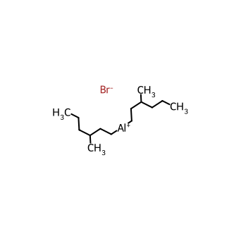 CCCC(C)C[CH2][Al+][CH2]CC(C)CCC.[Br-]